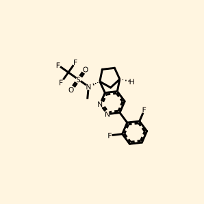 CN([C@]12CC[C@H](C1)c1cc(-c3c(F)cccc3F)nnc12)S(=O)(=O)C(F)(F)F